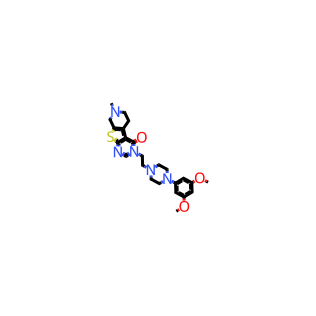 COc1cc(OC)cc(N2CCN(CCn3cnc4sc5c(c4c3=O)CCN(C)C5)CC2)c1